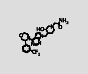 NC(=O)CN1CCC(Cn2ccc3c(N4CCOC[C@@H]4c4cccc(C(F)(F)F)c4)ncnc32)[C@@H](O)C1